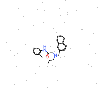 CCCN(CC(=O)Nc1ccccc1C)Cc1ccc2ccccc2c1